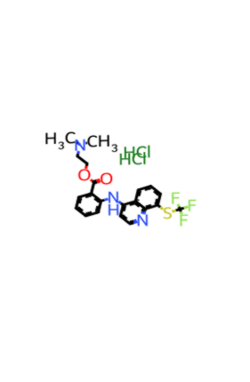 CN(C)CCOC(=O)c1ccccc1Nc1ccnc2c(SC(F)(F)F)cccc12.Cl.Cl